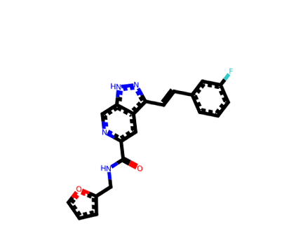 O=C(NCc1ccco1)c1cc2c(/C=C/c3cccc(F)c3)n[nH]c2cn1